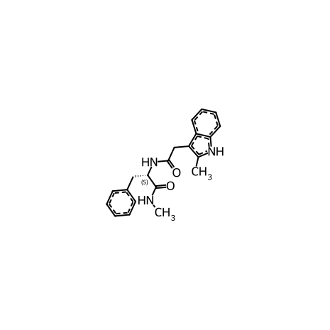 CNC(=O)[C@H](Cc1ccccc1)NC(=O)Cc1c(C)[nH]c2ccccc12